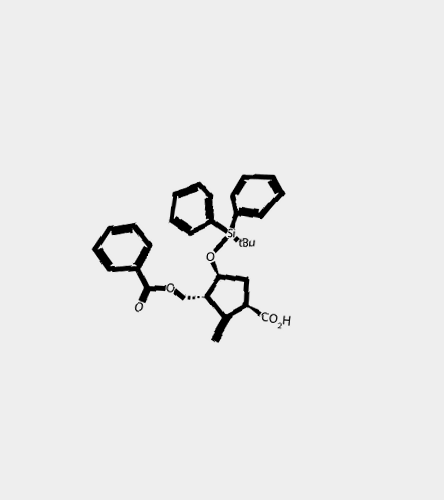 C=C1[C@H](C(=O)O)C[C@H](O[Si](c2ccccc2)(c2ccccc2)C(C)(C)C)[C@H]1COC(=O)c1ccccc1